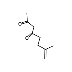 C=C(C)CCC(=O)CC(C)=O